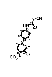 N#CCC(=O)Nc1ccc(-c2ccc(C(=O)O)c(=O)[nH]2)cc1